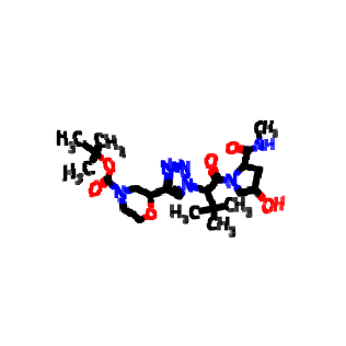 CNC(=O)C1CC(O)CN1C(=O)C(n1cc(C2CN(C(=O)OC(C)(C)C)CCO2)nn1)C(C)(C)C